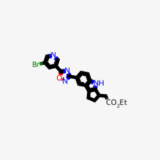 CCOC(=O)CC1CCc2c1[nH]c1ccc(-c3noc(-c4cncc(Br)c4)n3)cc21